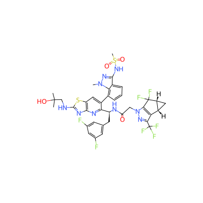 Cn1nc(NS(C)(=O)=O)c2cccc(-c3cc4sc(NCC(C)(C)O)nc4nc3[C@H](Cc3cc(F)cc(F)c3)NC(=O)Cn3nc(C(F)(F)F)c4c3C(F)(F)[C@@H]3C[C@H]43)c21